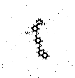 COc1ccc(-c2nnn[nH]2)cc1OCc1ccc(OCc2ccc3ccccc3n2)cc1